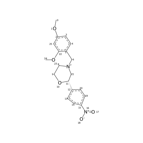 COc1ccc(CN2CCO[C@@H](c3ccc([N+](=O)[O-])cc3)C2)c(OC)c1